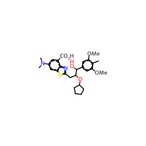 COc1cc(C(O)C(Cc2nc3c(C(=O)O)cc(N(C)C)cc3s2)OC2CCCC2)cc(OC)c1C